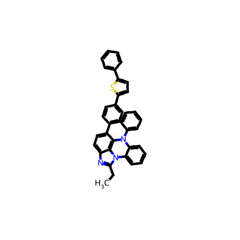 CCc1nc2ccc(-c3ccc(-c4ccc(-c5ccccc5)s4)cc3)c3c2n1-c1ccccc1N3c1ccccc1